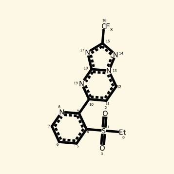 CCS(=O)(=O)c1cccnc1-c1ccn2nc(C(F)(F)F)nc2n1